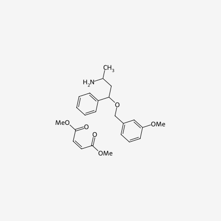 COC(=O)/C=C\C(=O)OC.COc1cccc(COC(CC(C)N)c2ccccc2)c1